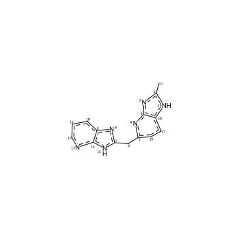 Cc1nc2nc(Cc3nc4cccnc4[nH]3)ccc2[nH]1